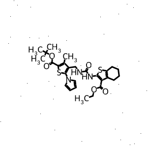 CCOC(=O)c1c(NC(=O)NCc2c(-n3cccc3)sc(C(=O)OC(C)(C)C)c2C)sc2c1CCCC2